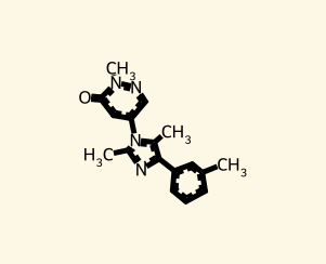 Cc1cccc(-c2nc(C)n(-c3cnn(C)c(=O)c3)c2C)c1